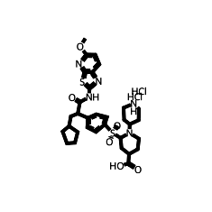 COc1ccc2nc(NC(=O)C(CC3CCCC3)c3ccc(S(=O)(=O)C4CC(C(=O)O)CCN4C4CCNCC4)cc3)sc2n1.Cl.Cl